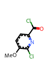 COc1ccc(C(=O)Cl)nc1Cl